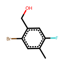 Cc1cc(Br)c(CO)cc1F